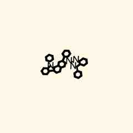 c1ccc(-c2nc(-n3c4ccccc4c4cc5c(ccc6c7ccccc7n(-c7ccccc7)c56)cc43)nc3ccccc23)cc1